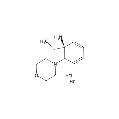 CC[C@]1(N)C=CC=CC1N1CCOCC1.Cl.Cl